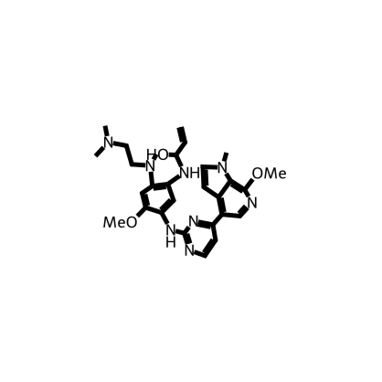 C=CC(O)Nc1cc(Nc2nccc(-c3cnc(OC)c4c3ccn4C)n2)c(OC)cc1N(C)CCN(C)C